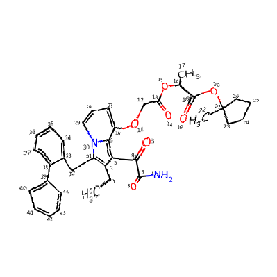 CCc1c(C(=O)C(N)=O)c2c(OCC(=O)OC(C)C(=O)OC3(C)CCCC3)cccn2c1Cc1ccccc1-c1ccccc1